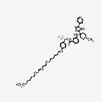 C[C@H](NC(=O)c1cccc(NC2(c3nnc(-c4ccncc4)[nH]3)CCN(C)CC2)c1)c1ccc(OCCCCCCOCCOCCOCCCCCC(=O)O)cc1